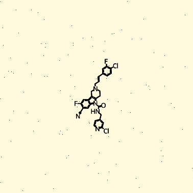 N#Cc1cc2c(cc1F)c1c(n2C(=O)NCc2ccnc(Cl)c2)CCN(CC=Cc2ccc(Cl)c(F)c2)C1